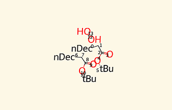 CCCCCCCCCCCC(=O)OC(C)(C)C.CCCCCCCCCCCC(=O)OC(C)(C)C.OO